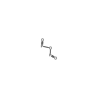 O=POP=O